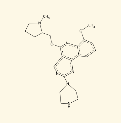 COc1cccc2c1nc(OCC1CCCN1C)c1cnc(N3CCNCC3)nc12